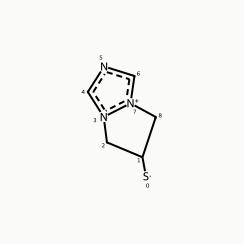 [S]C1Cn2cnc[n+]2C1